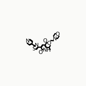 CC(C)c1[nH]c(=O)c(-c2csc(-c3ccncc3)n2)cc1C(=O)OCCN1CCOCC1